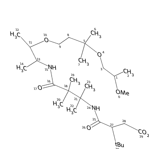 COC(C)COC(C)(C)CCOC(C)C(C)NC(=O)C(C)(C)C(C)(C)NC(=O)C(CC(=O)O)C(C)(C)C